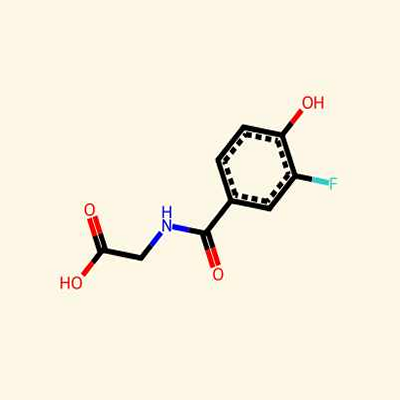 O=C(O)CNC(=O)c1ccc(O)c(F)c1